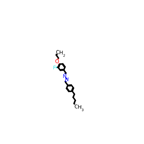 C=CCOc1ccc(C=NN=Cc2ccc(CCCCC)cc2)cc1F